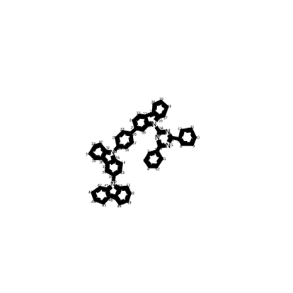 c1ccc(-c2nc(-c3ccccc3)nc(-n3c4ccccc4c4ccc(-c5ccc(-n6c7ccccc7c7cc(-n8c9ccccc9c9ccccc98)ccc76)cc5)cc43)n2)cc1